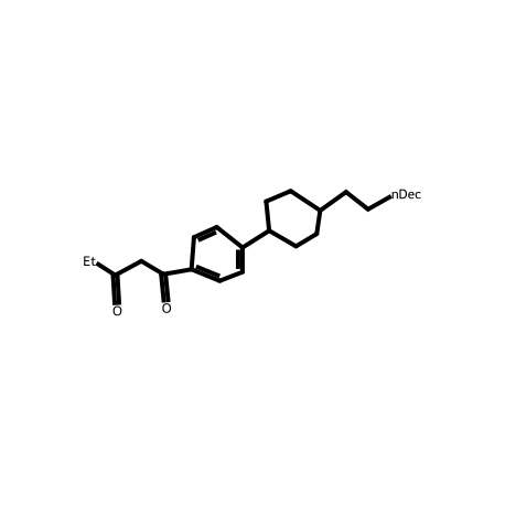 CCCCCCCCCCCCC1CCC(c2ccc(C(=O)CC(=O)CC)cc2)CC1